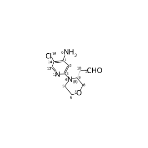 Nc1cc(N2CCOC[C@H]2CC=O)ncc1Cl